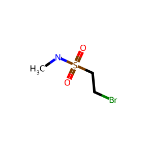 C[N]S(=O)(=O)CCBr